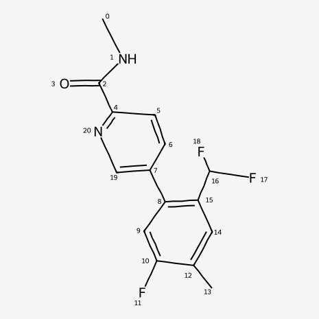 CNC(=O)c1ccc(-c2cc(F)c(C)cc2C(F)F)cn1